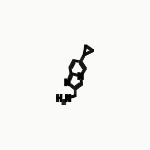 NCc1cn2cc(C3CC3)ccc2n1